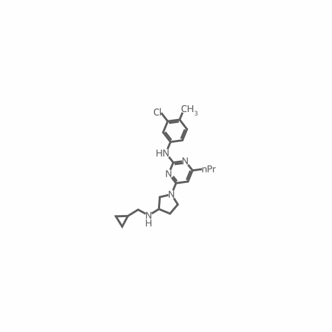 CCCc1cc(N2CCC(NCC3CC3)C2)nc(Nc2ccc(C)c(Cl)c2)n1